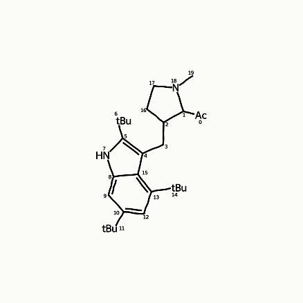 CC(=O)C1C(Cc2c(C(C)(C)C)[nH]c3cc(C(C)(C)C)cc(C(C)(C)C)c23)CCN1C